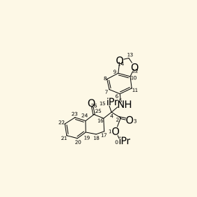 CC(C)OC(=O)C(Nc1ccc2c(c1)OCO2)(C(C)C)C1CCc2ccccc2C1=O